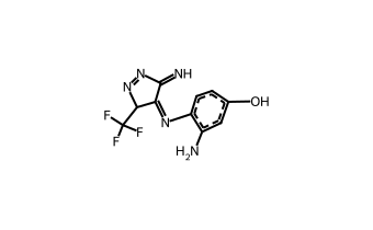 N=C1N=NC(C(F)(F)F)C1=Nc1ccc(O)cc1N